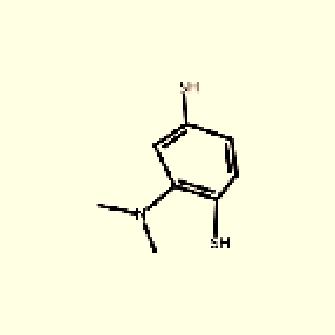 CN(C)c1cc(S)ccc1S